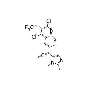 C=C=C(c1ccc2nc(Cl)c(CC(F)(F)F)c(Cl)c2c1)c1cnc(C)n1C